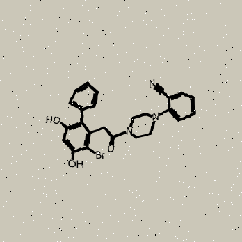 N#Cc1ccccc1N1CCN(C(=O)Cc2c(Br)c(O)cc(O)c2-c2ccccc2)CC1